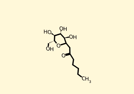 CCCCCC(=O)CC1O[C@H](CO)[C@@H](O)[C@H](O)[C@H]1O